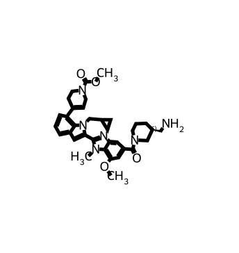 COC(=O)N1CC=C(c2cccc3cc(-c4nc5cc(C(=O)N6CCC[C@@H](CN)C6)cc(OC)c5n4C)n(CC4CC4)c23)CC1